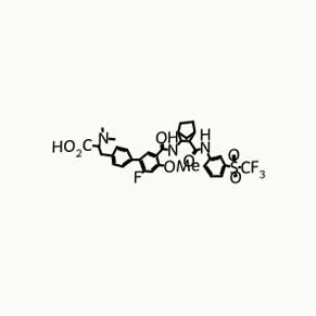 COc1cc(F)c(-c2ccc(CC(C(=O)O)N(C)C)cc2)cc1C(=O)NC1C2CCC(C2)C1C(=O)Nc1cccc(S(=O)(=O)C(F)(F)F)c1